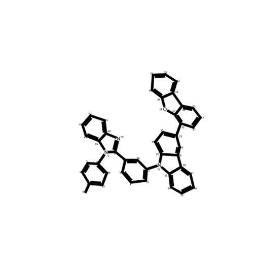 Cc1ccc(-n2c(-c3cccc(-n4c5ccccc5c5cc(-c6cccc7c6oc6ccccc67)ccc54)c3)nc3ccccc32)cc1